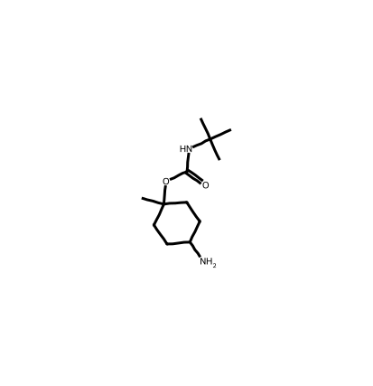 CC(C)(C)NC(=O)OC1(C)CCC(N)CC1